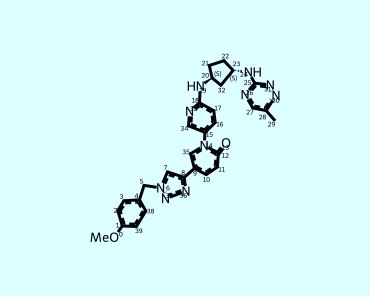 COc1ccc(Cn2cc(-c3ccc(=O)n(-c4ccc(N[C@H]5CC[C@H](Nc6ncc(C)nn6)C5)nc4)c3)nn2)cc1